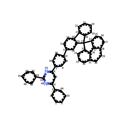 c1ccc(-c2cc(-c3ccc(-c4ccc5c(c4)C4(c6ccccc6-5)c5cccc6ccc7cccc4c7c56)cc3)nc(-c3ccccc3)n2)cc1